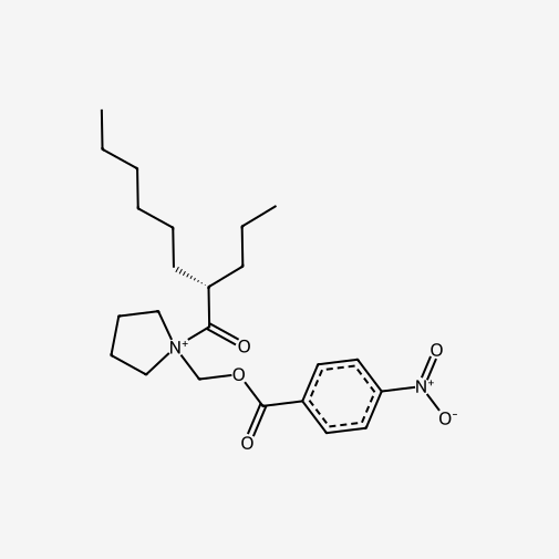 CCCCCC[C@H](CCC)C(=O)[N+]1(COC(=O)c2ccc([N+](=O)[O-])cc2)CCCC1